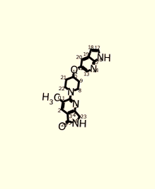 Cc1cc2c(nc1N1CCC(Oc3cnc4[nH]ccc4c3)CC1)CNC2=O